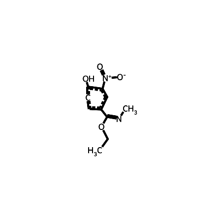 CCO/C(=N/C)c1ccc(O)c([N+](=O)[O-])c1